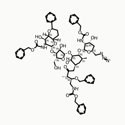 C[C@H](C(=O)C[C@@H]1C[C@H](C)[C@@H](O[C@H]2O[C@H](CN=[N+]=[N-])C[C@@H](O)[C@H]2NC(=O)OCc2ccccc2)[C@H](O[C@@H]2O[C@H](CO)[C@@H](O[C@H]3O[C@H]4CCC(c5ccccc5)O[C@H]4[C@H](O)[C@H]3NC(=O)OCc3ccccc3)[C@H]2O)[C@H]1O)[C@H](CNC(=O)OCc1ccccc1)OCc1ccccc1